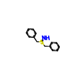 N=S(Cc1ccccc1)Cc1ccccc1